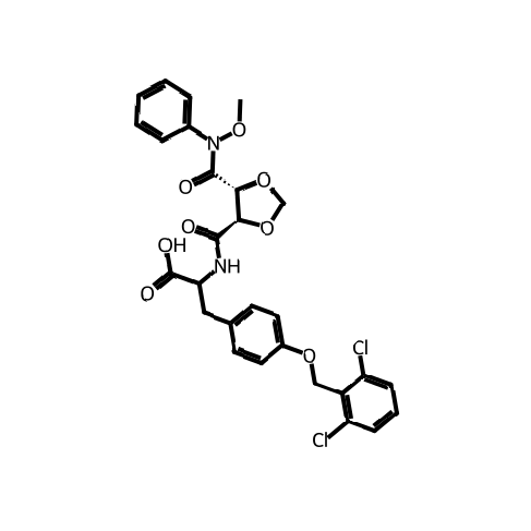 CON(C(=O)[C@@H]1OCO[C@H]1C(=O)NC(Cc1ccc(OCc2c(Cl)cccc2Cl)cc1)C(=O)O)c1ccccc1